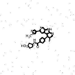 Cn1cc(-c2cc3c(cn2)[nH]c2ncc(F)c(-c4ccc(C(=O)N[C@H]5CC[C@H](O)C5)cc4)c23)cn1